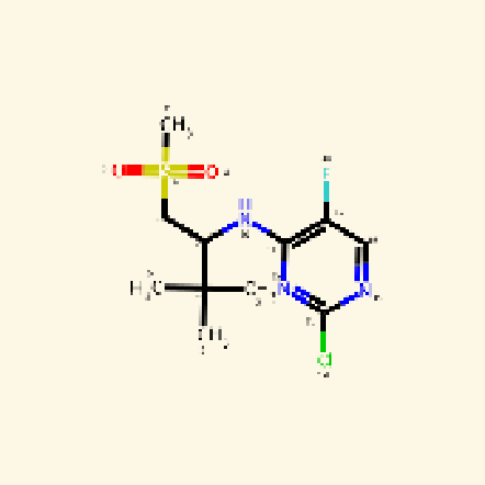 CC(C)(C)C(CS(C)(=O)=O)Nc1nc(Cl)ncc1F